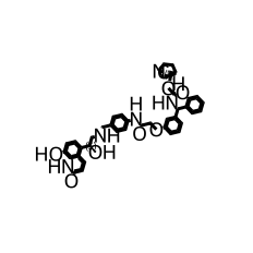 O=C(COc1cccc(C(NC(=O)O[C@H]2CN3CCC2CC3)c2ccccc2)c1)Nc1ccc(CNC[C@@H](O)c2ccc(O)c3[nH]c(=O)ccc23)cc1